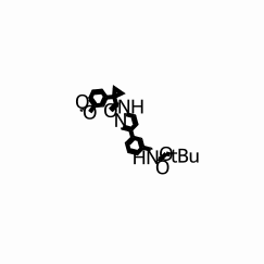 CC(C)(C)OC(=O)NCc1cccc(-c2ccc(NC(=O)C3(c4ccc5c(c4)OCO5)CC3)nc2)c1